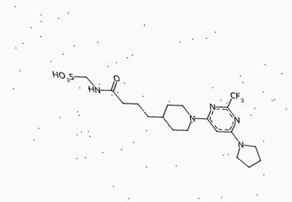 O=C(CCCC1CCN(c2cc(N3CCCC3)nc(C(F)(F)F)n2)CC1)NCS(=O)(=O)O